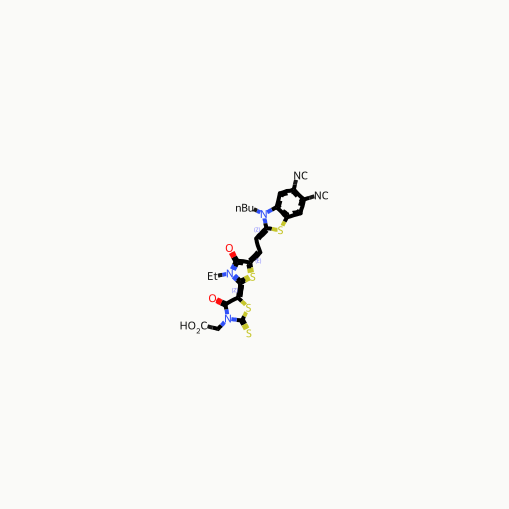 [C-]#[N+]c1cc2c(cc1[N+]#[C-])N(CCCC)/C(=C/C=c1/s/c(=C3\SC(=S)N(CC(=O)O)C3=O)n(CC)c1=O)S2